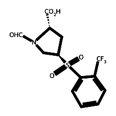 O=CN1C[C@H](S(=O)(=O)c2ccccc2C(F)(F)F)C[C@H]1C(=O)O